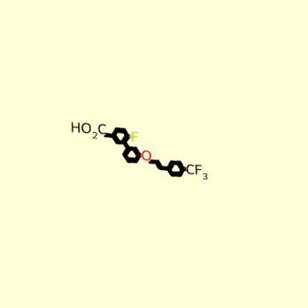 O=C(O)Cc1ccc(F)c(-c2cccc(OC/C=C/c3ccc(C(F)(F)F)cc3)c2)c1